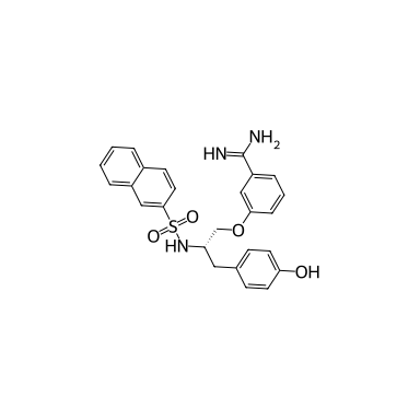 N=C(N)c1cccc(OC[C@H](Cc2ccc(O)cc2)NS(=O)(=O)c2ccc3ccccc3c2)c1